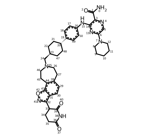 NC(=O)c1ncc(N2CCCCC2)nc1Nc1ccc([C@H]2CC[C@H](CN3CCc4ccc5c(C6CCC(=O)NC6=O)noc5c4CC3)CC2)cc1